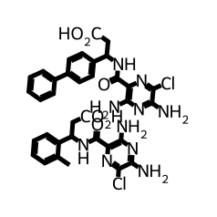 Cc1ccccc1C(CC(=O)O)NC(=O)c1nc(Cl)c(N)nc1N.Nc1nc(N)c(C(=O)NC(CC(=O)O)c2ccc(-c3ccccc3)cc2)nc1Cl